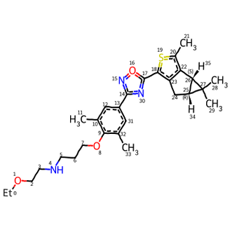 CCOCCNCCCOc1c(C)cc(-c2noc(-c3sc(C)c4c3C[C@@H]3[C@H]4C3(C)C)n2)cc1C